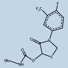 CC(C)(C)NC(=O)OC1SCN(c2ccc(F)c(C(F)(F)F)c2)C1=O